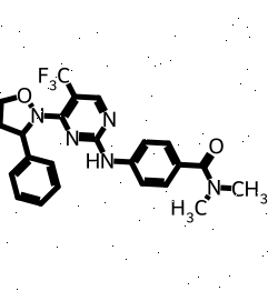 CN(C)C(=O)c1ccc(Nc2ncc(C(F)(F)F)c(N3OCCC3c3ccccc3)n2)cc1